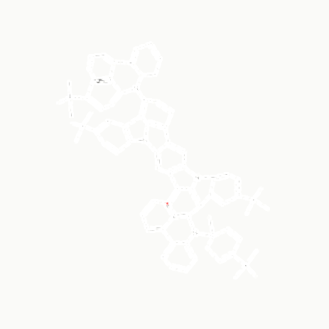 CC(C)(C)C1=CCC(C)(N(c2ccccc2-c2ccccc2)c2ccc3c4cc5c(cc4n4c6ccc(C(C)(C)C)cc6c2c34)c2ccc(N(c3ccc(C(C)(C)C)cc3)C3CC=CC=C3c3ccccc3)c3c4cc(C(C)(C)C)ccc4n5c23)C=C1